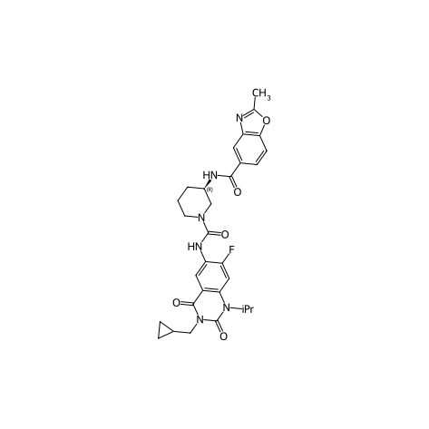 Cc1nc2cc(C(=O)N[C@@H]3CCCN(C(=O)Nc4cc5c(=O)n(CC6CC6)c(=O)n(C(C)C)c5cc4F)C3)ccc2o1